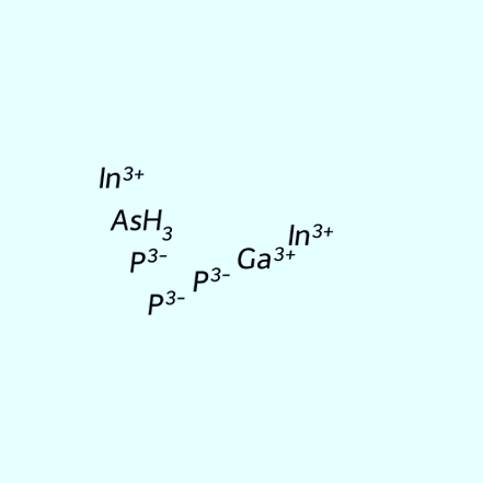 [AsH3].[Ga+3].[In+3].[In+3].[P-3].[P-3].[P-3]